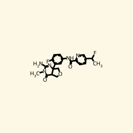 CC(F)c1ccc(C(=O)Nc2ccc(F)c(C34COCC3C(=O)N(C)C(N)=N4)c2)nc1